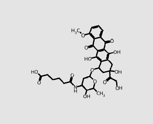 COc1cccc2c1C(=O)c1c(O)c3c(c(O)c1C2=O)CC(O)(C(=O)CO)CC3OC1CC(NC(=O)CCCCC(=O)O)C(O)C(C)O1